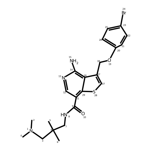 CN(C)CC(C)(C)CNC(=O)c1cnc(N)c2c(COc3ccc(Br)cc3)csc12